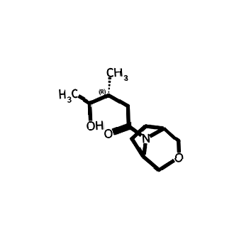 CC(O)[C@H](C)CC(=O)N1C2CCC1COC2